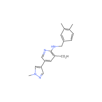 Cc1ccc(CNc2ncc(-c3cnn(C)c3)cc2C(=O)O)cc1C